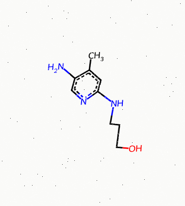 Cc1cc(NCCCO)ncc1N